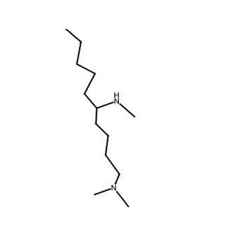 CCCCCC(CCCCN(C)C)NC